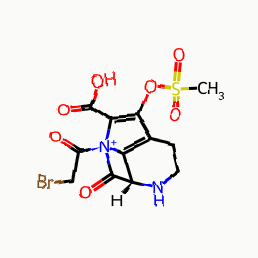 CS(=O)(=O)OC1=C(C(=O)O)[N@@+]2(C(=O)CBr)C(=O)[C@H]3NCCC1=C32